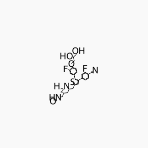 N#Cc1ccc(-c2cc(CC(N)CCCNC=O)sc2-c2ccc(OCC(O)CO)c(F)c2)cc1F